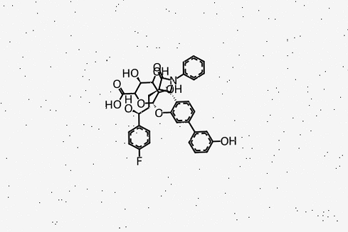 O=C(O)C1O[C@@H](Oc2cc(-c3cccc(O)c3)ccc2[C@@H]2[C@@H](CC[C@H](O)c3ccc(F)cc3)C(=O)N2c2ccccc2)C(O)C(O)[C@@H]1O